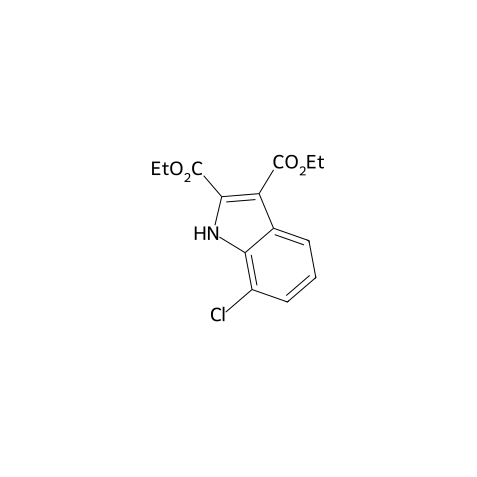 CCOC(=O)c1[nH]c2c(Cl)cccc2c1C(=O)OCC